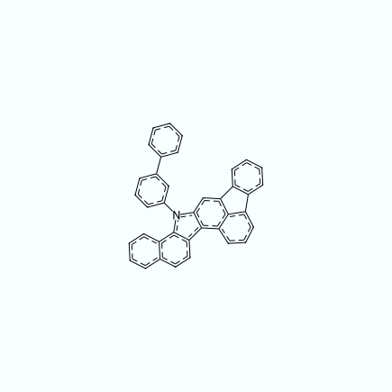 c1ccc(-c2cccc(-n3c4cc5c6c(cccc6c4c4ccc6ccccc6c43)-c3ccccc3-5)c2)cc1